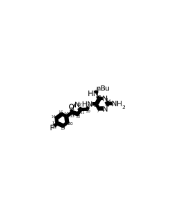 CCCCNc1nc(N)ncc1NCc1cc(-c2ccc(F)cc2)on1